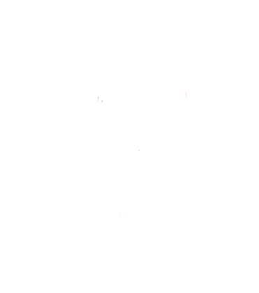 COC1=C(F)CC2=NC(C)=C(CC(=O)O)C2=C1C(=O)c1ccc(O)s1